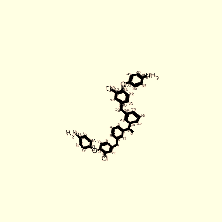 CC(c1cccc(Cc2ccc(Oc3ccc(N)cc3)c(Cl)c2)c1)c1cccc(Cc2ccc(Oc3ccc(N)cc3)c(Cl)c2)c1